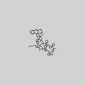 CCCCOC(=O)C(C)(CC(C)(CC(C)(CC(C)(CC)CC)C(=O)OCc1c2ccccc2cc2ccccc12)C(=O)OCOC(=O)C(C)=O)CC(C)(C(=O)OCC(C)O)C(C)CC